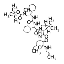 C=CCNC(=O)C(=O)C(CCCC)NC(=O)[C@@H]1[C@@H]2[C@H](CN1C(=O)[C@@H](NC(=O)N[C@H](CN(C)C(=O)OC(C)(C)C)C1CCCCC1)C1CCCCC1)C2(C)C